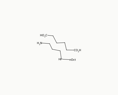 CCCCCCCCPCCCN.O=C(O)CCCCC(=O)O